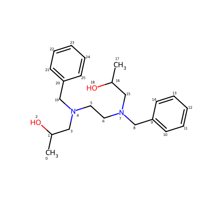 CC(O)CN(CCN(Cc1ccccc1)CC(C)O)Cc1ccccc1